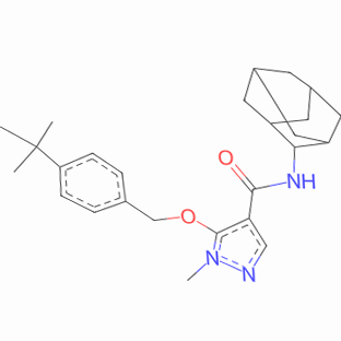 Cn1ncc(C(=O)NC2C3CC4CC(C3)CC2C4)c1OCc1ccc(C(C)(C)C)cc1